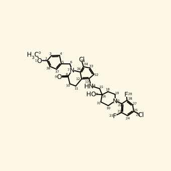 COc1ccc(CN2C(=O)CCc3c(NCC4(O)CCN(c5c(F)cc(Cl)cc5F)CC4)ccc(Cl)c32)cc1